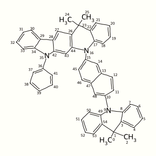 CC1(C)c2ccccc2N(c2ccc3cc(N4c5ccccc5C(C)(C)c5cc6c7ccccc7n(-c7ccccc7)c6cc54)ccc3c2)c2ccccc21